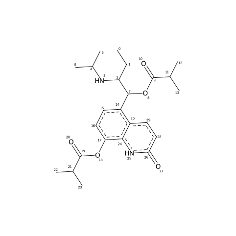 CCC(NC(C)C)C(OC(=O)C(C)C)c1ccc(OC(=O)C(C)C)c2[nH]c(=O)ccc12